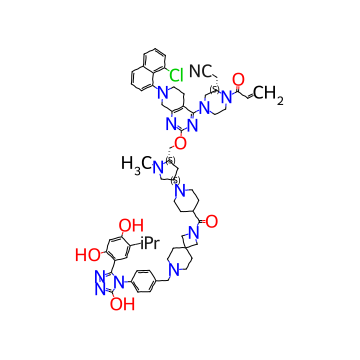 C=CC(=O)N1CCN(c2nc(OC[C@@H]3C[C@H](N4CCC(C(=O)N5CC6(CCN(Cc7ccc(-n8c(O)nnc8-c8cc(C(C)C)c(O)cc8O)cc7)CC6)C5)CC4)CN3C)nc3c2CCN(c2cccc4cccc(Cl)c24)C3)C[C@@H]1CC#N